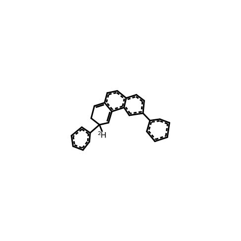 [2H]C1(c2ccccc2)C=c2c(ccc3ccc(-c4ccccc4)cc23)=CC1